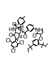 CCC(Oc1ccc(C(C)(C)CC)cc1C(C)(C)CC)C(=O)Nc1cccc(C(=O)NC2=NN(c3c(Cl)cc(Cl)cc3Cl)C(=O)C2NS(=O)(=O)c2ccc(C)cc2)c1